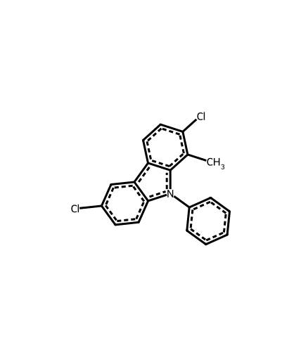 Cc1c(Cl)ccc2c3cc(Cl)ccc3n(-c3ccccc3)c12